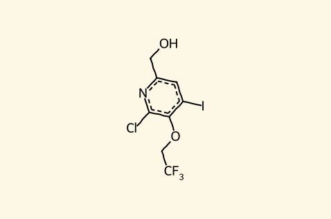 OCc1cc(I)c(OCC(F)(F)F)c(Cl)n1